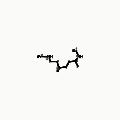 CCC(C)NC(C)CCN(C)CCNC(C)C